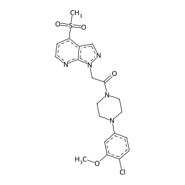 COc1cc(N2CCN(C(=O)Cn3ncc4c(S(C)(=O)=O)ccnc43)CC2)ccc1Cl